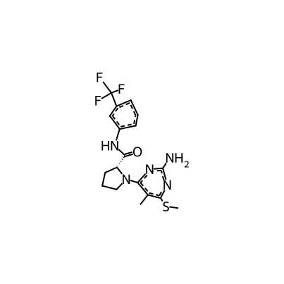 CSc1nc(N)nc(N2CCC[C@@H]2C(=O)Nc2cccc(C(F)(F)F)c2)c1C